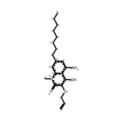 C=CCOc1c(O)c2c(N)cc(CCCCCCCC)cc2n(C)c1=O